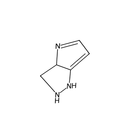 C1=NC2CNNC2=C1